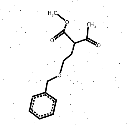 COC(=O)C(CCOCc1ccccc1)C(C)=O